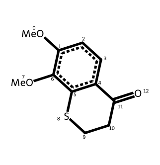 COc1ccc2c(c1OC)SCCC2=O